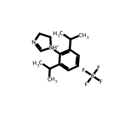 CC(C)c1cccc(C(C)C)c1[NH+]1C=NCC1.F[B-](F)(F)F